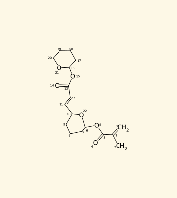 C=C(C)C(=O)OC1CCCC(C=CC(=O)OC2CCCCO2)O1